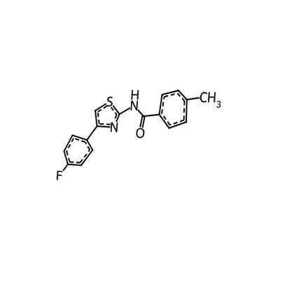 Cc1ccc(C(=O)Nc2nc(-c3ccc(F)cc3)cs2)cc1